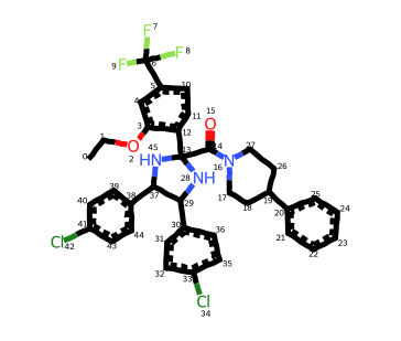 CCOc1cc(C(F)(F)F)ccc1C1(C(=O)N2CCC(c3ccccc3)CC2)NC(c2ccc(Cl)cc2)C(c2ccc(Cl)cc2)N1